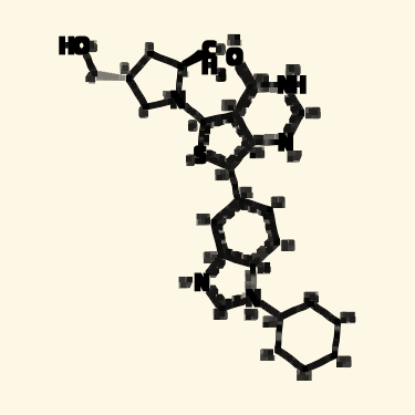 C[C@@H]1C[C@@H](CO)CN1c1sc(-c2ccc3c(c2)ncn3C2CCCCC2)c2nc[nH]c(=O)c12